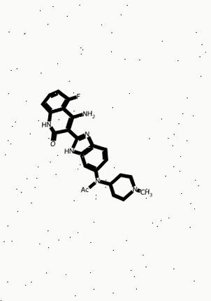 CC(=O)N(c1ccc2nc(-c3c(N)c4c(F)cccc4[nH]c3=O)[nH]c2c1)C1CCN(C)CC1